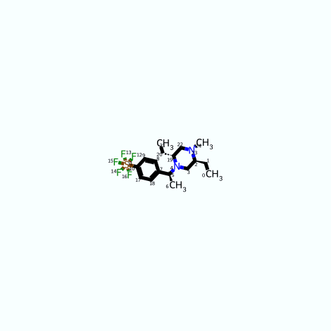 CC[C@H]1CN([C@@H](C)c2ccc(S(F)(F)(F)(F)F)cc2)[C@H](CC)CN1C